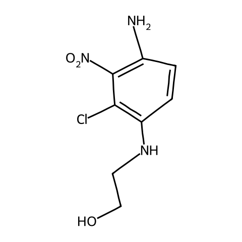 Nc1ccc(NCCO)c(Cl)c1[N+](=O)[O-]